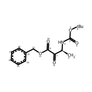 [CH2][C@H](NC(=O)OC(C)(C)C)C(=O)C(=O)OCc1ccccc1